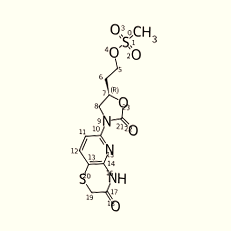 CS(=O)(=O)OCC[C@@H]1CN(c2ccc3c(n2)NC(=O)CS3)C(=O)O1